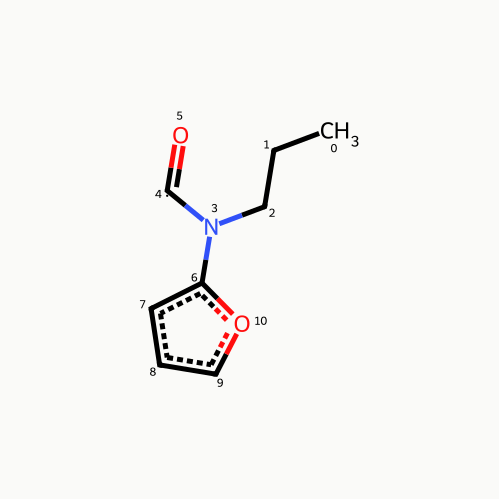 CCCN([C]=O)c1ccco1